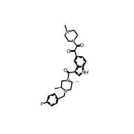 C[C@@H]1CN(Cc2ccc(F)cc2)[C@@H](C)CN1C(=O)c1c[nH]c2ccc(C(=O)C(=O)N3CCN(C)CC3)cc12